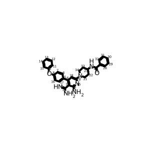 N=C(N)c1c(-c2ccc(Oc3ccccc3)cc2)cc(N2CCC(NC(=O)c3ccccc3)CC2)nc1N